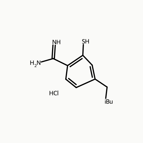 CCC(C)Cc1ccc(C(=N)N)c(S)c1.Cl